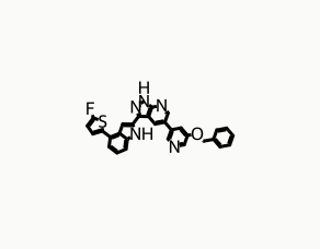 Fc1ccc(-c2cccc3[nH]c(-c4n[nH]c5ncc(-c6cncc(OCc7ccccc7)c6)cc45)cc23)s1